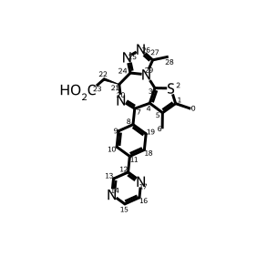 Cc1sc2c(c1C)C(c1ccc(-c3cnccn3)cc1)=N[C@@H](CC(=O)O)c1nnc(C)n1-2